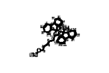 CC(C)(C)OCCCCCCCS(C)(C1(C)C2=C(C=CCC2)c2ccccc21)C1(C)c2ccccc2-c2ccccc21